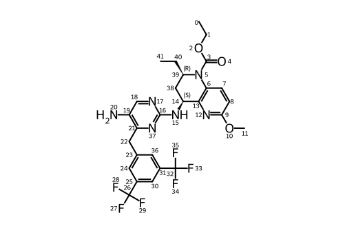 CCOC(=O)N1c2ccc(OC)nc2[C@@H](Nc2ncc(N)c(Cc3cc(C(F)(F)F)cc(C(F)(F)F)c3)n2)C[C@H]1CC